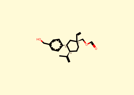 C=C[C@]1(COC=O)CC[C@@H](C(=C)C)[C@H](c2ccc(CO)cc2)C1